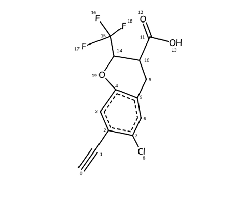 C#Cc1cc2c(cc1Cl)CC(C(=O)O)C(C(F)(F)F)O2